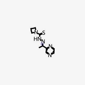 C/C(=N\NC(=S)N1CCC1)c1cnccn1